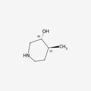 C[C@H]1CCNC[C@@H]1O